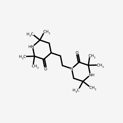 CC1(C)CC(CCN2CC(C)(C)NC(C)(C)C2=O)C(=O)C(C)(C)N1